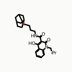 CC(C)Cn1c(=O)c(C(=O)NCCCN2C3CC4CC(C3)CC2C4)c(O)c2ccccc21